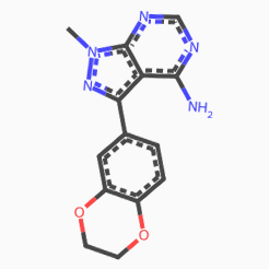 Cn1nc(-c2ccc3c(c2)OCCO3)c2c(N)ncnc21